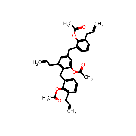 C=CCc1cc(Cc2cccc(CC=C)c2OC(C)=O)cc(OC(C)=O)c1Cc1cccc(CC=C)c1OC(C)=O